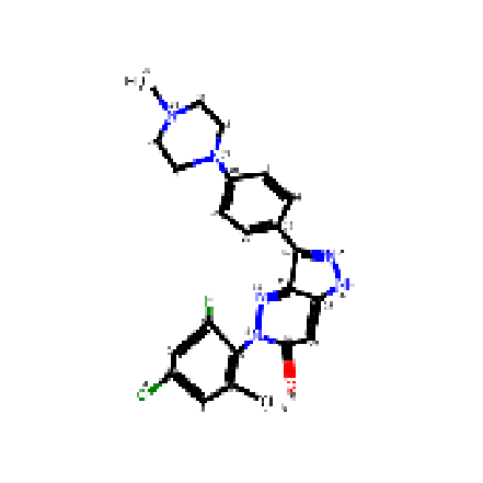 Cc1cc(Cl)cc(F)c1-n1nc2c(-c3ccc(N4CCN(C)CC4)cc3)n[nH]c2cc1=O